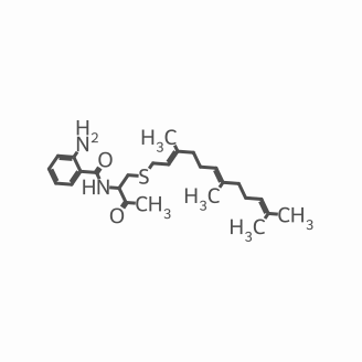 CC(=O)C(CSC/C=C(\C)CC/C=C(\C)CCC=C(C)C)NC(=O)c1ccccc1N